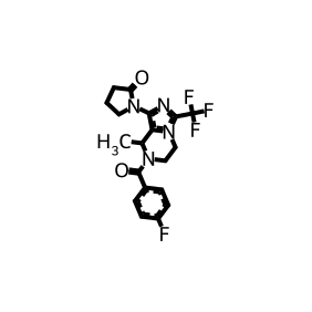 CC1c2c(N3CCCC3=O)nc(C(F)(F)F)n2CCN1C(=O)c1ccc(F)cc1